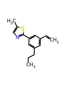 C=Cc1cc(CCC)cc(-c2ncc(C)s2)c1